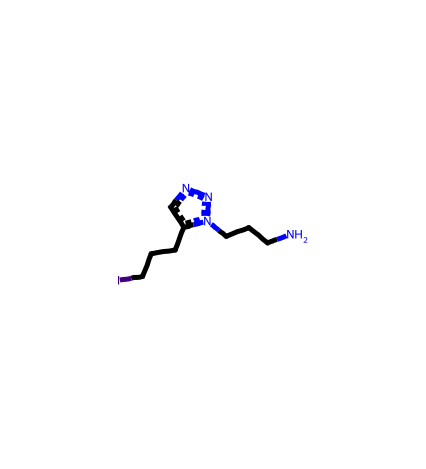 NCCCn1nncc1CCCI